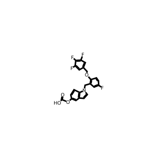 O=C(O)Oc1ccc2c(ccn2Cc2cc(F)ccc2OCc2cc(F)c(F)c(F)c2)c1